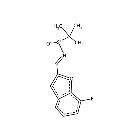 CC(C)(C)[S+]([O-])/N=C/c1cc2cccc(F)c2o1